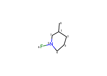 CC1CCCN(F)C1